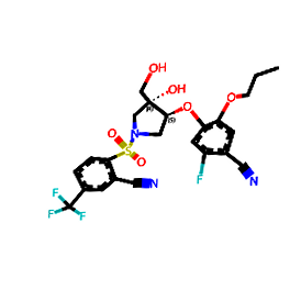 CCCOc1cc(C#N)c(F)cc1O[C@H]1CN(S(=O)(=O)c2ccc(C(F)(F)F)cc2C#N)C[C@@]1(O)CO